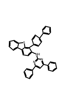 c1ccc(-c2ccc(-c3c(Nc4nc(-c5ccccc5)cc(-c5ccccc5)n4)ccc4c3sc3ccccc34)cc2)cc1